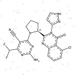 N#Cc1c(C(F)F)nc(N)nc1N1CCC[C@H]1c1nc2cccc(Cl)c2c(=O)n1-c1cc[nH]n1